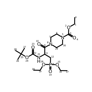 CCOC(=O)N1CCN(C(=O)C(CP(=O)(OCC)OCC)NC(=O)OC(C)(C)C)CC1